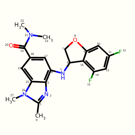 Cc1nc2c(NC3COc4cc(F)cc(F)c43)cc(C(=O)N(C)C)cc2n1C